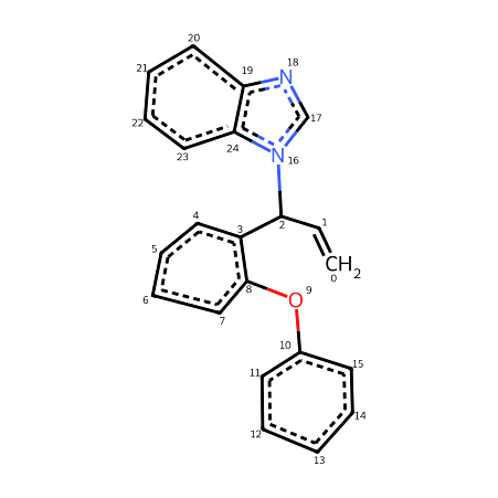 C=CC(c1ccccc1Oc1ccccc1)n1cnc2ccccc21